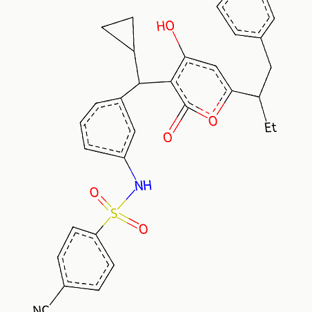 CCC(Cc1ccccc1)c1cc(O)c(C(c2cccc(NS(=O)(=O)c3ccc(C#N)cc3)c2)C2CC2)c(=O)o1